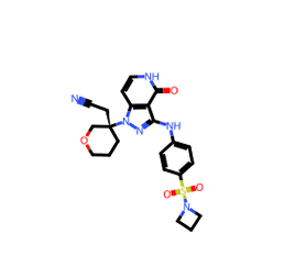 N#CC[C@@]1(n2nc(Nc3ccc(S(=O)(=O)N4CCC4)cc3)c3c(=O)[nH]ccc32)CCCOC1